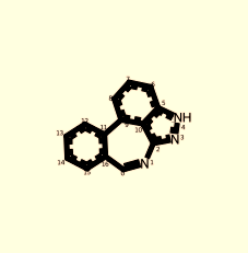 C1=Nc2n[nH]c3cccc(c23)-c2ccccc21